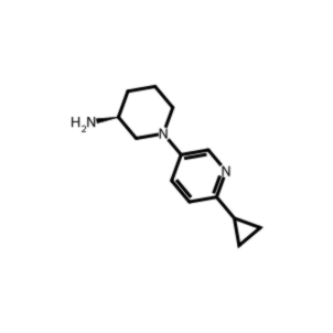 N[C@H]1CCCN(c2ccc(C3CC3)nc2)C1